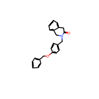 O=C1Cc2ccccc2CN1Cc1ccc(OCc2ccccc2)cc1